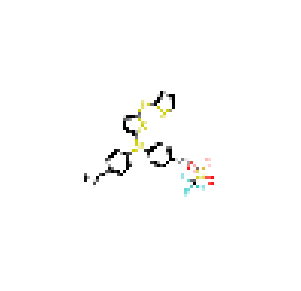 Cc1ccc([S+](c2ccc(C)cc2)c2ccc(Sc3cccs3)s2)cc1.O=S(=O)([O-])C(F)(F)F